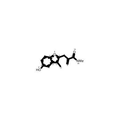 C=C(Cc1oc2ccc(O)cc2c1C)C(=O)NC